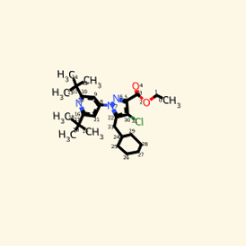 CCOC(=O)c1nn(-c2cc(C(C)(C)C)nc(C(C)(C)C)c2)c(CC2CCCCC2)c1Cl